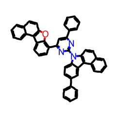 c1ccc(-c2ccc3c(c2)c2c4ccccc4ccc2n3-c2nc(-c3ccccc3)cc(-c3cccc4c3oc3ccc5ccccc5c34)n2)cc1